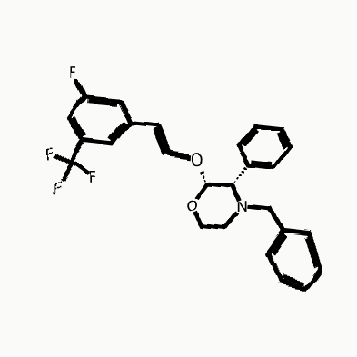 Fc1cc(C=CO[C@H]2OCCN(Cc3ccccc3)[C@H]2c2ccccc2)cc(C(F)(F)F)c1